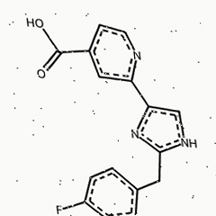 O=C(O)c1ccnc(-c2c[nH]c(Cc3ccc(F)cc3)n2)c1